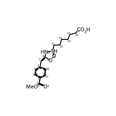 COC(=O)c1ccc(/C=C2/N[SH](CCCCCCC(=O)O)OO2)cc1